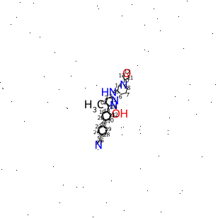 Cc1cc(NC2CCCN(C3COC3)C2)nnc1-c1ccc(-c2ccc(C#N)cc2)cc1O